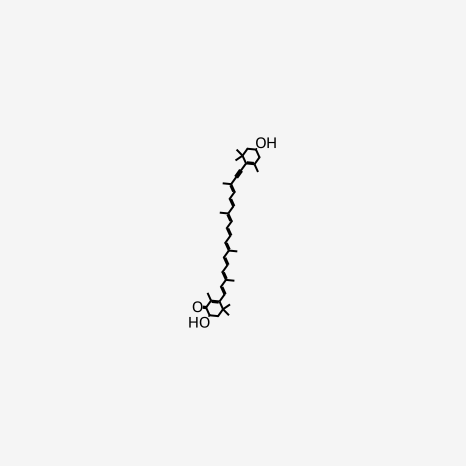 CC1=C(C#C/C(C)=C/C=C/C(C)=C/C=C/C=C(C)/C=C/C=C(C)/C=C/C2=C(C)C(=O)[C@@H](O)CC2(C)C)C(C)(C)C[C@H](O)C1